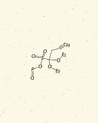 C#CCC(OCC)(OCC)S(=O)(=O)OP=O